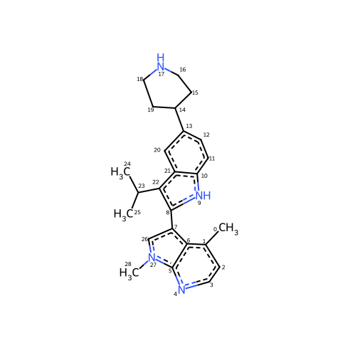 Cc1ccnc2c1c(-c1[nH]c3ccc(C4CCNCC4)cc3c1C(C)C)cn2C